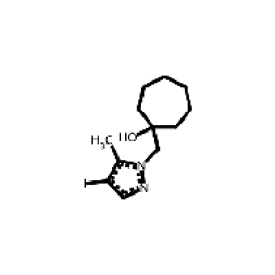 Cc1c(I)cnn1CC1(O)CCCCCC1